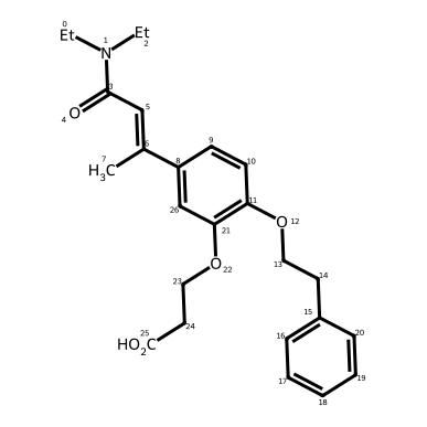 CCN(CC)C(=O)/C=C(\C)c1ccc(OCCc2ccccc2)c(OCCC(=O)O)c1